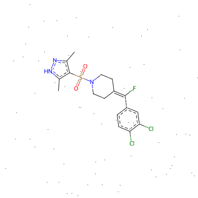 Cc1n[nH]c(C)c1S(=O)(=O)N1CCC(=C(F)c2ccc(Cl)c(Cl)c2)CC1